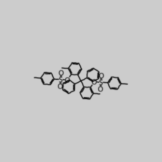 Cc1ccc(S(=O)(=O)Oc2c(C)cccc2C(c2ccccc2)(c2ccccc2)c2cccc(C)c2OS(=O)(=O)c2ccc(C)cc2)cc1